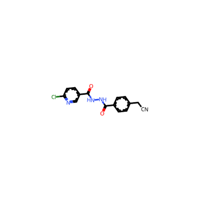 N#CCc1ccc(C(=O)NNC(=O)c2ccc(Cl)nc2)cc1